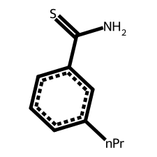 CCCc1cccc(C(N)=S)c1